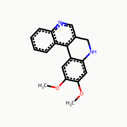 COc1cc2c(cc1OC)-c1c(cnc3ccccc13)CN2